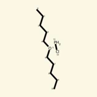 CCCCCOCCCCC.PCl